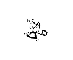 C=CC1(NC(=O)c2[nH]ccc(=O)c2OCc2ccccc2)CC1